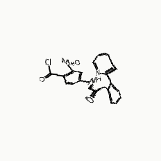 COc1cc(NC(=O)c2ccccc2-c2ccccn2)ccc1C(=O)Cl